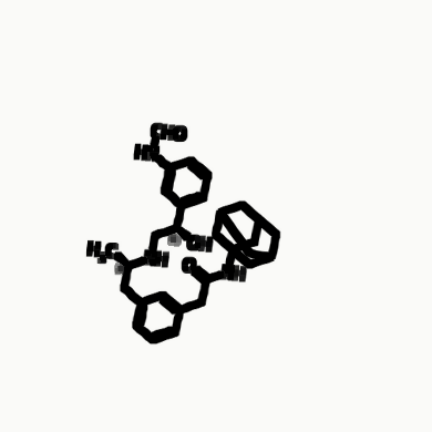 C[C@H](Cc1cccc(CC(=O)NC23CC4CC(CC(C4)C2)C3)c1)NC[C@H](O)c1cccc(NC=O)c1